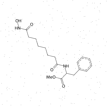 COC(=O)C(Cc1ccccc1)NC(=O)CCCCCCC(=O)NO